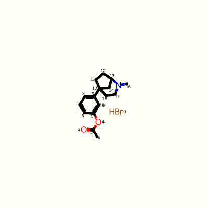 Br.CC(=O)Oc1cccc(C23CCC(C2)N(C)CC3)c1